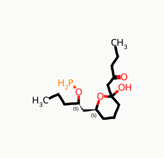 CCCC(=O)CC1(O)CCC[C@@H](C[C@H](CCC)OP)O1